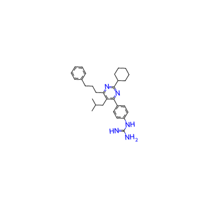 CC(C)Cc1c(CCCc2ccccc2)nc(C2CCCCC2)nc1-c1ccc(NC(=N)N)cc1